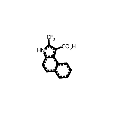 O=C(O)c1c(C(F)(F)F)[nH]c2ccc3ccccc3c12